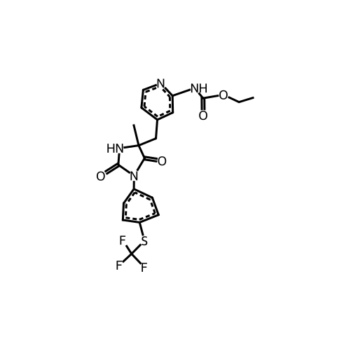 CCOC(=O)Nc1cc(CC2(C)NC(=O)N(c3ccc(SC(F)(F)F)cc3)C2=O)ccn1